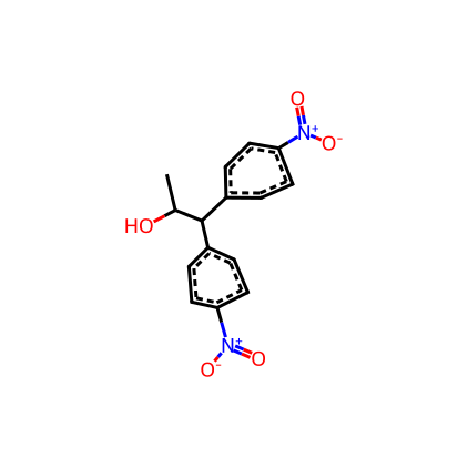 CC(O)C(c1ccc([N+](=O)[O-])cc1)c1ccc([N+](=O)[O-])cc1